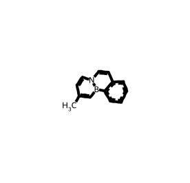 CC1=CB2c3ccccc3C=CN2C=C1